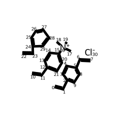 C=Cc1ccc(C=C)cc1.C=Cc1ccc([N+](C)(C)C)cc1.C=Cc1ccccc1.[Cl-]